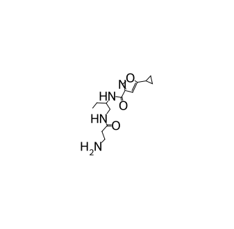 CCC(CNC(=O)CCN)NC(=O)c1cc(C2CC2)on1